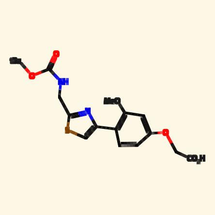 COc1cc(OCC(=O)O)ccc1-c1csc(CNC(=O)OC(C)(C)C)n1